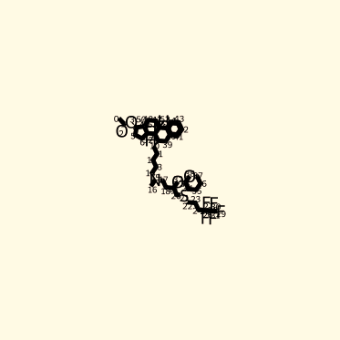 CC(=O)O[C@H]1CC[C@H]2[C@@H]3[C@H](CCCCCN(C)CCC(CSCCCC(F)(F)C(F)(F)F)OC4CCCCO4)Cc4ccccc4[C@H]3CC[C@]12C